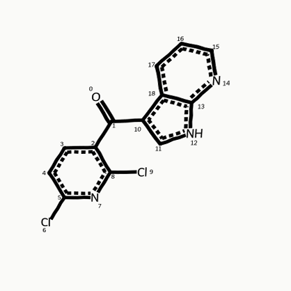 O=C(c1ccc(Cl)nc1Cl)c1c[nH]c2ncccc12